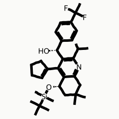 CC(C)c1nc2c(c(C3=CCCC3)c1[C@H](O)c1ccc(C(C)(F)F)cc1)[C@@H](O[Si](C)(C)C(C)(C)C)CC(C)(C)C2